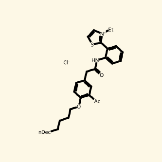 CCCCCCCCCCCCCCOc1ccc(CC(=O)Nc2ccccc2-c2scc[n+]2CC)cc1C(C)=O.[Cl-]